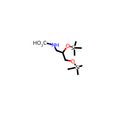 C[Si](C)(C)OCC(CNC(=O)O)O[Si](C)(C)C